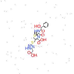 O=C(O)Cc1nc(SCC2=C(C(=O)O)N3C(=O)C(NC(=O)C(O)c4ccccc4)[C@@H]3SC2)n[nH]1